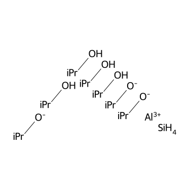 CC(C)O.CC(C)O.CC(C)O.CC(C)O.CC(C)[O-].CC(C)[O-].CC(C)[O-].[Al+3].[SiH4]